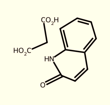 O=C(O)CC(=O)O.O=c1ccc2ccccc2[nH]1